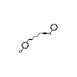 Clc1ccc(C=CCCCC#CSc2ccccc2)cc1